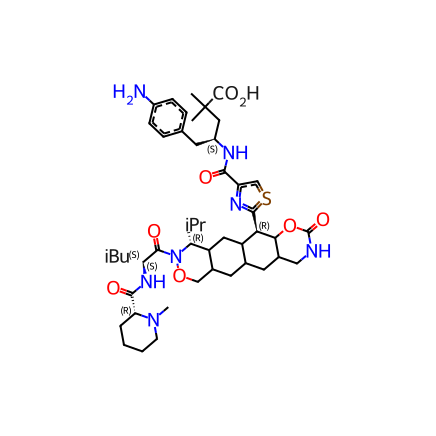 CC[C@H](C)[C@H](NC(=O)[C@H]1CCCCN1C)C(=O)N1OCC2CC3CC4CNC(=O)OC4[C@H](c4nc(C(=O)N[C@@H](Cc5ccc(N)cc5)CC(C)(C)C(=O)O)cs4)C3CC2[C@H]1C(C)C